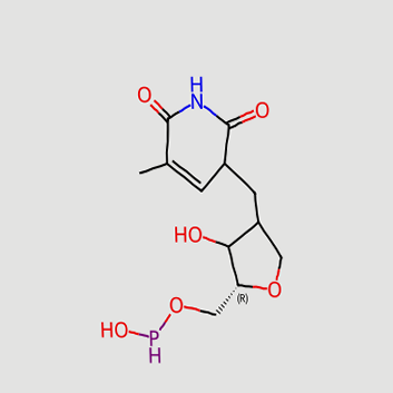 CC1=CC(CC2CO[C@H](COPO)C2O)C(=O)NC1=O